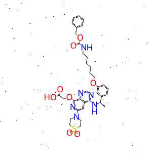 C[C@@H](Nc1ncnc2c(OCC(=O)O)nc(N3CCS(=O)(=O)CC3)cc12)c1cccc(OCCCCCCNC(=O)OCc2ccccc2)c1